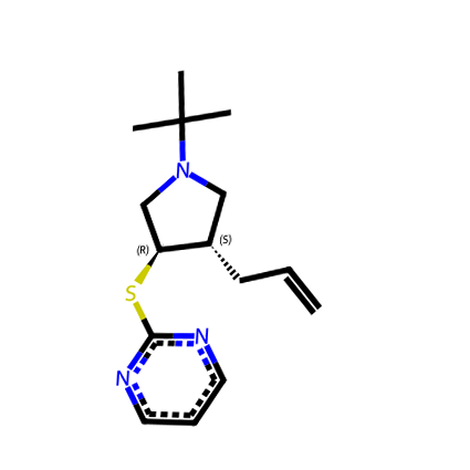 C=CC[C@H]1CN(C(C)(C)C)C[C@@H]1Sc1ncccn1